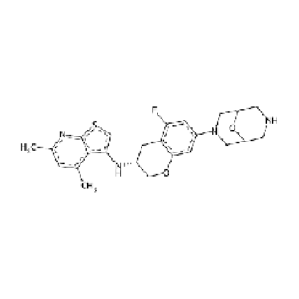 Cc1cc(C)c2c(N[C@H]3COc4cc(N5CC6CNCC(C5)O6)cc(F)c4C3)csc2n1